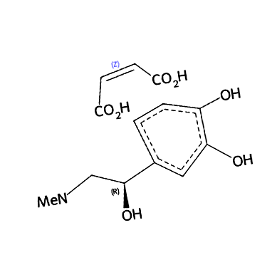 CNC[C@H](O)c1ccc(O)c(O)c1.O=C(O)/C=C\C(=O)O